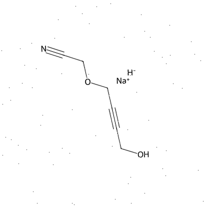 N#CCOCC#CCO.[H-].[Na+]